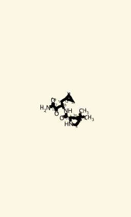 CC1(C)C2CN[C@H](C(=O)NC(CC3CC3)C(=O)C(N)=O)C21